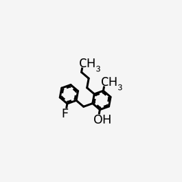 CCCCc1c(C)ccc(O)c1Cc1ccccc1F